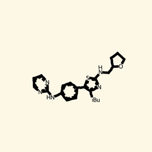 CCC(C)c1nc(NCC2CCCO2)sc1-c1ccc(Nc2ncccn2)cc1